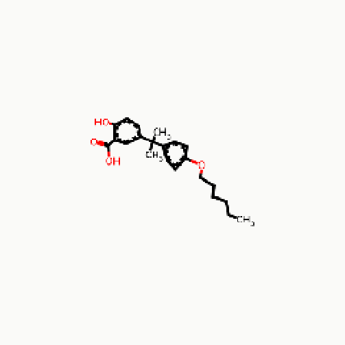 CCCCCCOc1ccc(C(C)(C)c2ccc(O)c(C(=O)O)c2)cc1